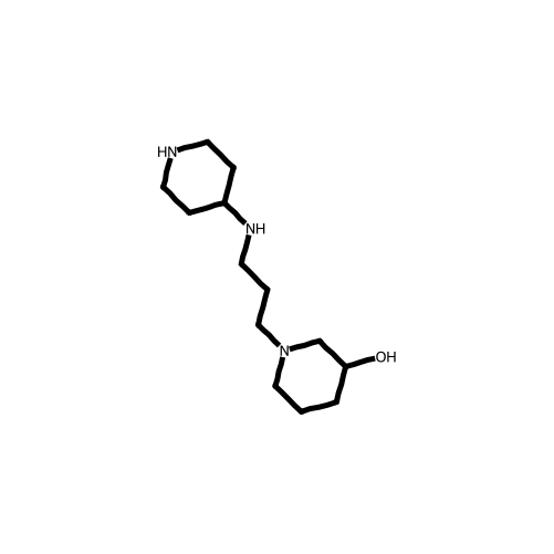 OC1CCCN(CCCNC2CCNCC2)C1